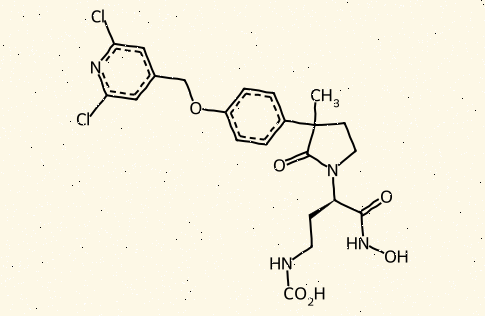 CC1(c2ccc(OCc3cc(Cl)nc(Cl)c3)cc2)CCN([C@H](CCNC(=O)O)C(=O)NO)C1=O